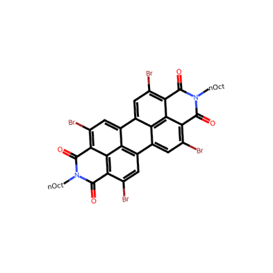 CCCCCCCCN1C(=O)c2c(Br)cc3c4cc(Br)c5c6c(c(Br)cc(c7cc(Br)c(c2c37)C1=O)c64)C(=O)N(CCCCCCCC)C5=O